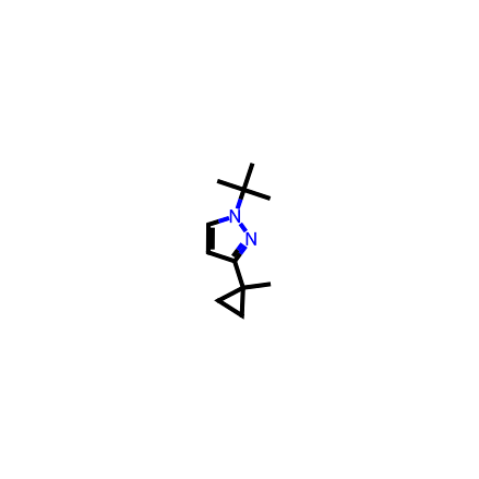 CC1(c2ccn(C(C)(C)C)n2)CC1